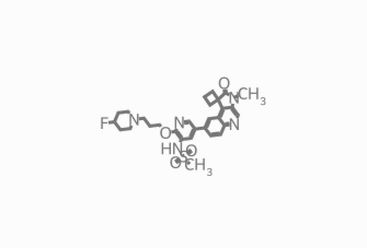 CN1C(=O)C2(CCC2)c2c1cnc1ccc(-c3cnc(OCCCN4CCC(F)CC4)c(NS(C)(=O)=O)c3)cc21